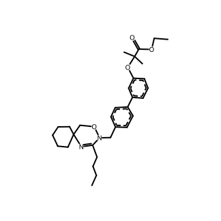 CCCCC1=NC2(CCCCC2)CON1Cc1ccc(-c2cccc(OC(C)(C)C(=O)OCC)c2)cc1